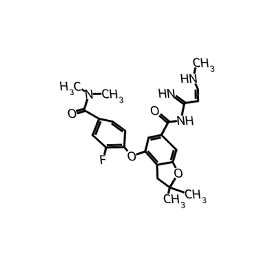 CN/C=C\C(=N)NC(=O)c1cc(Oc2ccc(C(=O)N(C)C)cc2F)c2c(c1)OC(C)(C)C2